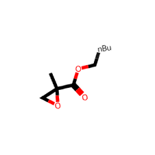 CCCCCOC(=O)C1(C)CO1